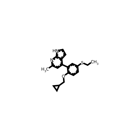 CCSc1ccc(OCC2CC2)c(-c2cc(C)nc3[nH]ccc23)c1